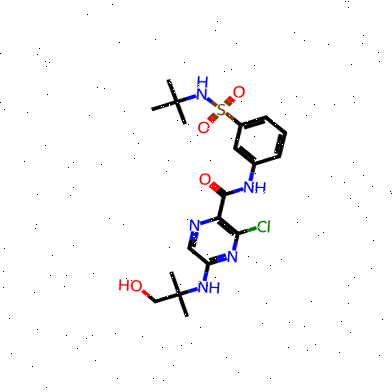 CC(C)(C)NS(=O)(=O)c1cccc(NC(=O)c2ncc(NC(C)(C)CO)nc2Cl)c1